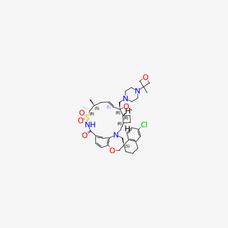 CO[C@@]1(CN2CCN(C3(C)COC3)CC2)/C=C/C[C@H](C)[C@@H](C)S(=O)(=O)NC(=O)c2ccc3c(c2)N(C[C@@H]2CC[C@H]21)C[C@@]1(CCCc2cc(Cl)ccc21)CO3